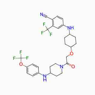 N#Cc1ccc(NC2CCC(OCC(=O)N3CCC(Nc4ccc(OC(F)(F)F)cc4)CC3)CC2)cc1C(F)(F)F